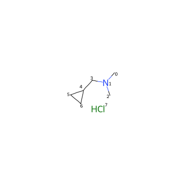 CN(C)CC1CC1.Cl